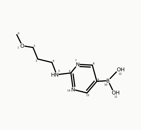 COCCCNc1ncc(B(O)O)cn1